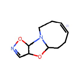 C1=NOC2C1OC1CC/C=C\CCN12